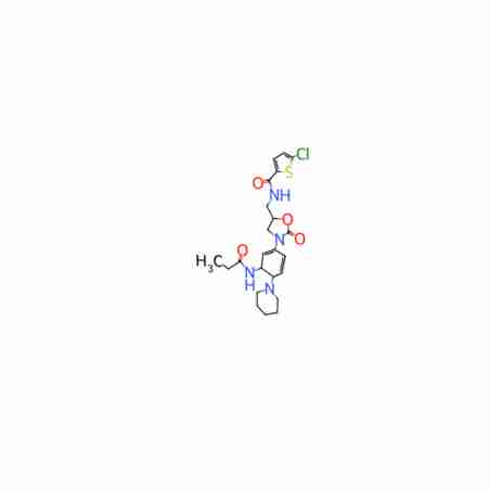 CCC(=O)NC1C=C(N2CC(CNC(=O)c3ccc(Cl)s3)OC2=O)C=CC1N1CCCCC1